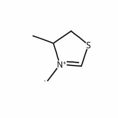 [CH2][N+]1=CSCC1C